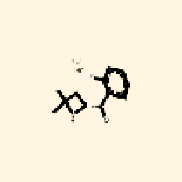 CC1(C)C[C@H](C(O)c2ccccc2F)N1.Cl.Cl